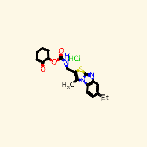 CCc1ccc2c(c1)nc1sc(CNC(=O)OC3CCCCC3=O)c(C)n12.Cl